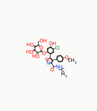 CCNC(=O)c1noc(-c2cc(Cl)c(O)cc2O[C@@H]2O[C@H](CO)[C@H](O)[C@H](O)[C@H]2O)c1-c1ccc(OC)cc1